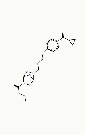 C[C@@H](NC(=O)O)C(=O)N1C[C@H]2C[C@@H]1CN2CCCOc1ccc(C(=O)C2CC2)cc1